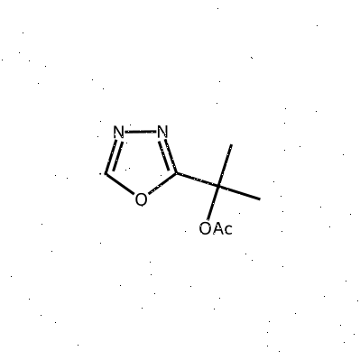 CC(=O)OC(C)(C)c1nn[c]o1